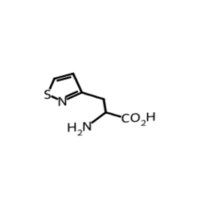 NC(Cc1ccsn1)C(=O)O